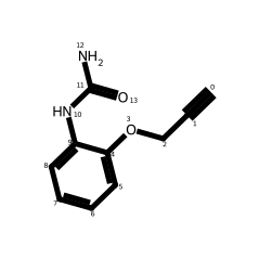 C#CCOc1ccccc1NC(N)=O